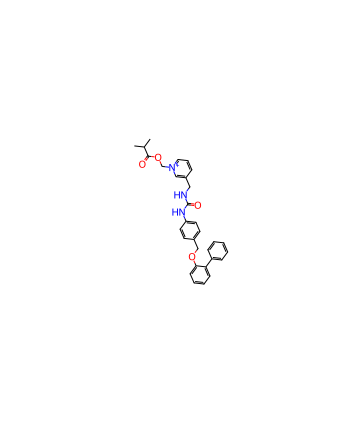 CC(C)C(=O)OC[n+]1cccc(CNC(=O)Nc2ccc(COc3ccccc3-c3ccccc3)cc2)c1